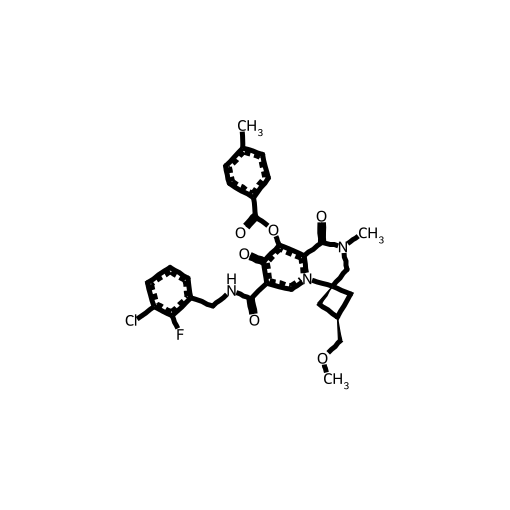 COC[C@H]1C[C@@]2(CN(C)C(=O)c3c(OC(=O)c4ccc(C)cc4)c(=O)c(C(=O)NCc4cccc(Cl)c4F)cn32)C1